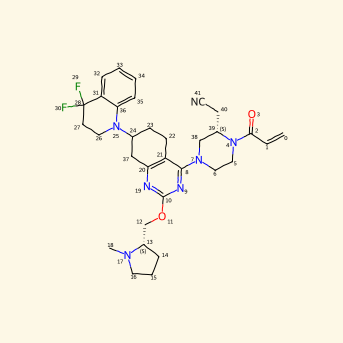 C=CC(=O)N1CCN(c2nc(OC[C@@H]3CCCN3C)nc3c2CCC(N2CCC(F)(F)c4ccccc42)C3)C[C@@H]1CC#N